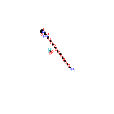 NCCOCCOCCOCCOCCOCCOCCOCCOCCOCCNC(=O)CCN1C(=O)C=CC1=O.O=C(O)C(F)(F)F